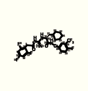 N=C(NC(=O)Cc1c(F)cc(F)cc1F)N[C@H](CC1CCCCC1)C(=O)NCc1ccc(F)c(C(F)(F)F)c1